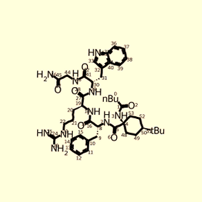 CCCCC(=O)N[C@]1(C(=O)N[C@H](Cc2ccccc2)C(=O)N[C@@H](CCCNC(=N)N)C(=O)N[C@@H](Cc2c[nH]c3ccccc23)C(=O)NCC(N)=O)CC[C@H](C(C)(C)C)CC1